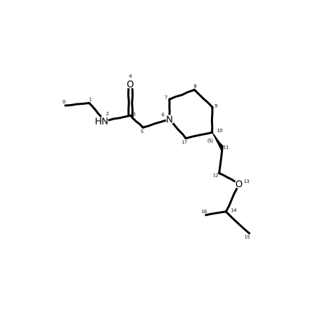 CCNC(=O)CN1CCC[C@@H](CCOC(C)C)C1